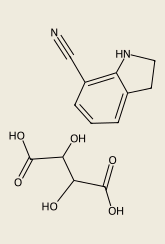 N#Cc1cccc2c1NCC2.O=C(O)C(O)C(O)C(=O)O